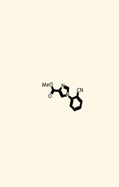 COC(=O)c1cn(-c2ccccc2C#N)cn1